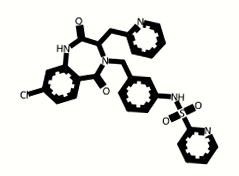 O=C1Nc2cc(Cl)ccc2C(=O)N(Cc2cccc(NS(=O)(=O)c3ccccn3)c2)C1Cc1ccccn1